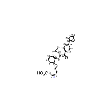 O=C(O)C/C=C\CCOc1ccccc1CN(C(=O)c1ccc(-c2ccco2)cc1)C1CC1